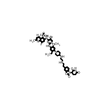 CCc1cc(Nc2ncc(Br)c(Nc3cc(F)c4nc(C)ccc4c3P(C)(C)=O)n2)c(OC)cc1N1CCC(NCCNCCc2ccc3c(c2)oc(=O)n3C2CCC(=O)NC2=O)CC1